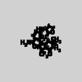 CC1OCCC1Nc1ccc(C(N)=O)c(-n2nc(C(F)(F)F)c3c2CC(C)(C)CC3=O)c1